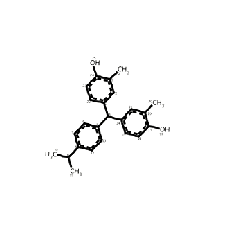 Cc1cc(C(c2ccc(C(C)C)cc2)c2ccc(O)c(C)c2)ccc1O